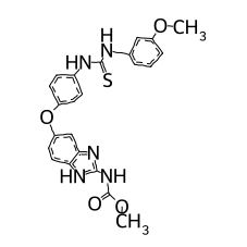 COC(=O)Nc1nc2cc(Oc3ccc(NC(=S)Nc4cccc(OC)c4)cc3)ccc2[nH]1